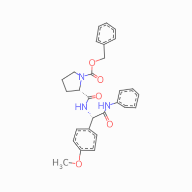 COc1ccc([C@H](NC(=O)[C@@H]2CCCN2C(=O)OCc2ccccc2)C(=O)Nc2ccccc2)cc1